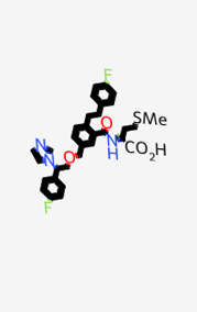 CSCC[C@H](NC(=O)c1cc(COCC(c2ccc(F)cc2)n2ccnc2)ccc1CCc1ccc(F)cc1)C(=O)O